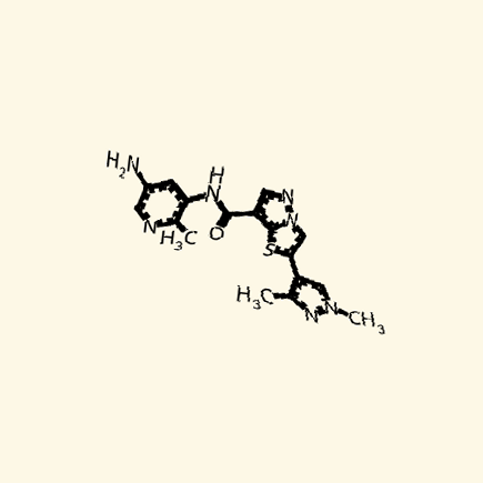 Cc1ncc(N)cc1NC(=O)c1cnn2cc(-c3cn(C)nc3C)sc12